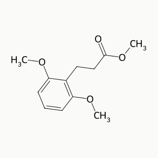 COC(=O)CCc1c(OC)cccc1OC